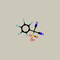 N#CC(C#N)(c1c(F)c(F)c(F)c(F)c1F)S(=O)(=O)O